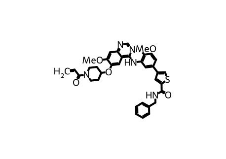 C=CC(=O)N1CCC(Oc2cc3c(Nc4cc(-c5csc(C(=O)NCc6ccccc6)c5)ccc4OC)ncnc3cc2OC)CC1